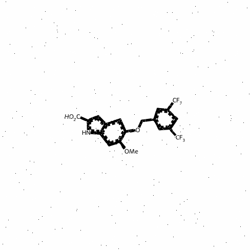 COc1cc2[nH]c(C(=O)O)cc2cc1OCc1cc(C(F)(F)F)cc(C(F)(F)F)c1